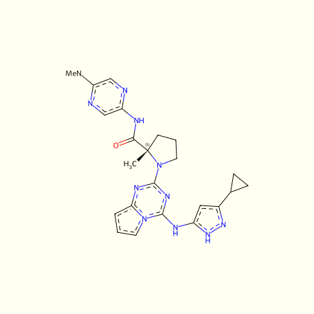 CNc1cnc(NC(=O)[C@]2(C)CCCN2c2nc(Nc3cc(C4CC4)n[nH]3)n3cccc3n2)cn1